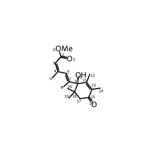 COC(=O)/C=C(C)\C=C(/C)[C@]1(O)C(C)=C(C)C(=O)CC1(C)C